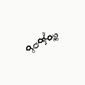 CCn1c(-c2ccc(N3CCCS3(=O)=O)cc2)c(C#N)c2ccc(N3CCN(C(=O)c4ccccc4)CC3)cc21